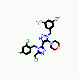 Fc1ccc(Cn2c(CCl)nnc2-c2nnn(Cc3cc(C(F)(F)F)cc(C(F)(F)F)c3)c2N2CCOCC2)c(Cl)c1